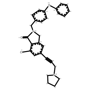 O=C1c2c(Cl)cc(C#CCN3CCCC3)cc2CN1Cc1ccc(Oc2ccccc2)cc1